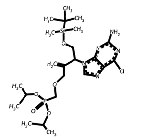 C=C(COCP(=O)(OC(C)C)OC(C)C)C(CO[Si](C)(C)C(C)(C)C)n1cnc2c(Cl)nc(N)nc21